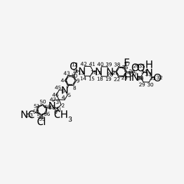 C[C@H]1CC2(CCN(c3ccc(C(=O)N4CCC(N5CCN(c6ccc(C(=O)N[C@@H]7CCC(=O)NC7=O)c(F)c6)CC5)CC4)cc3)CC2)CN1c1ccc(C#N)c(Cl)c1